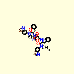 CN(C(=O)C(Cc1ccccc1)NC(=O)CS(=O)(=O)N[C@@H](Cc1ccccc1)C(=O)N(C)c1ccc2scnc2c1)c1ccc2scnc2c1